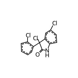 O=C1Nc2ccc(Cl)cc2C1(Cl)c1ccccc1Cl